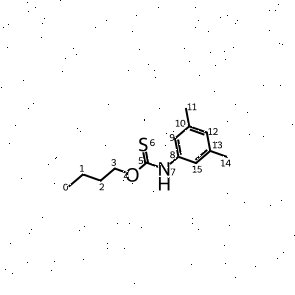 CCCCOC(=S)Nc1cc(C)cc(C)c1